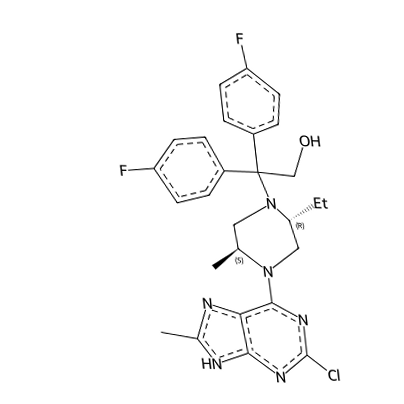 CC[C@@H]1CN(c2nc(Cl)nc3[nH]c(C)nc23)[C@@H](C)CN1C(CO)(c1ccc(F)cc1)c1ccc(F)cc1